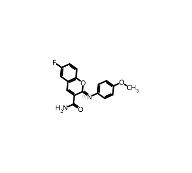 COc1ccc(/N=c2\oc3ccc(F)cc3cc2C(N)=O)cc1